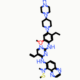 C=Cc1cnc(Nc2cc(CC)c(N3CCC(N4CCNCC4)CC3)cc2OC)nc1Nc1ccc2nccnc2c1N(C)SC